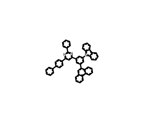 c1ccc(-c2ccc(-c3cc(-c4cc(-c5cc6ccccc6c6ccccc56)cc(-n5c6ccccc6c6ccccc65)c4)nc(-c4ccccc4)n3)cc2)cc1